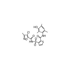 Cc1cc(C)c(NC(=O)c2sccc2S(=O)(=O)NC(=O)c2onc(C)c2Cl)c(C)c1O